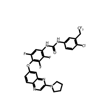 O=C(Nc1ccc(Cl)c(CC(F)(F)F)c1)Nc1cc(F)c(Oc2ccc3ncc(N4CCCC4)nc3c2)c(F)c1F